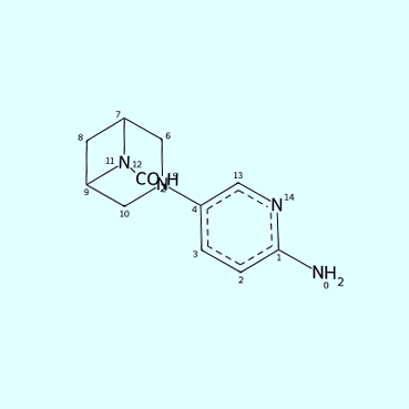 Nc1ccc(N2CC3CC(C2)N3C(=O)O)cn1